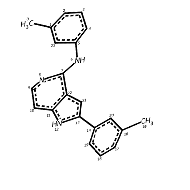 Cc1cccc(Nc2nccc3[nH]c(-c4cccc(C)c4)cc23)c1